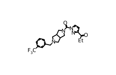 CCC(=O)c1ccn(C(=O)N2CC3CN(Cc4cccc(C(F)(F)F)c4)CC3C2)n1